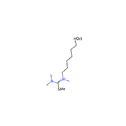 CCCCCCCCCCCCCC/[N+](C)=C(/SC)N(C)C